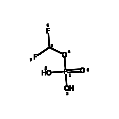 O=P(O)(O)OC(F)F